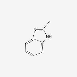 [CH2]c1nc2ccccc2[nH]1